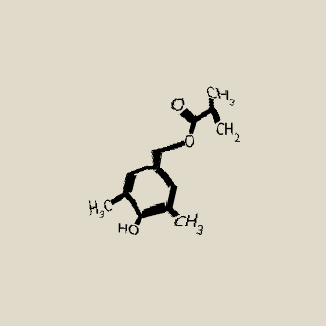 C=C(C)C(=O)OCc1cc(C)c(O)c(C)c1